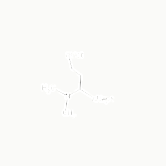 [CH2]CCCCCCC(CCCCCCCCCC)N(C)C